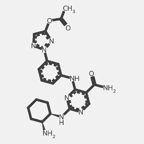 CC(=O)Oc1cnn(-c2cccc(Nc3nc(N[C@@H]4CCCC[C@@H]4N)ncc3C(N)=O)c2)n1